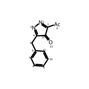 CC(=O)C1=NN=C(Cc2ccccc2)C1=O